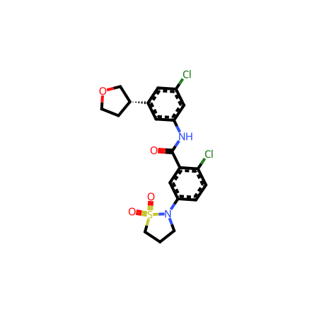 O=C(Nc1cc(Cl)cc([C@@H]2CCOC2)c1)c1cc(N2CCCS2(=O)=O)ccc1Cl